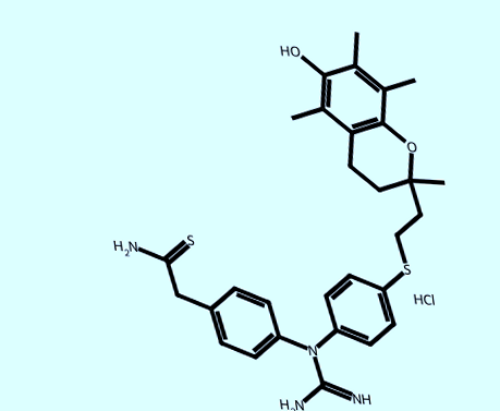 Cc1c(C)c2c(c(C)c1O)CCC(C)(CCSc1ccc(N(C(=N)N)c3ccc(CC(N)=S)cc3)cc1)O2.Cl